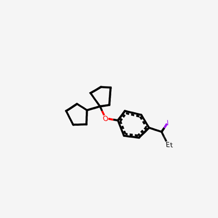 CCC(I)c1ccc(OC2(C3CCCC3)CCCC2)cc1